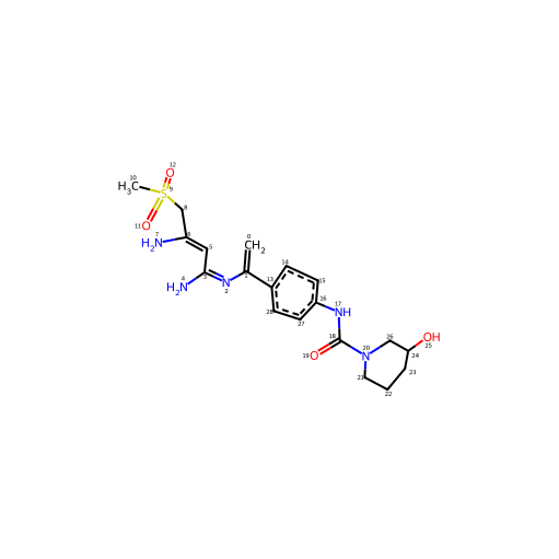 C=C(/N=C(N)\C=C(/N)CS(C)(=O)=O)c1ccc(NC(=O)N2CCCC(O)C2)cc1